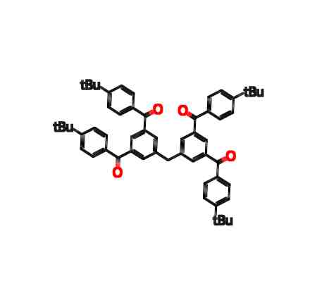 CC(C)(C)c1ccc(C(=O)c2cc(Cc3cc(C(=O)c4ccc(C(C)(C)C)cc4)cc(C(=O)c4ccc(C(C)(C)C)cc4)c3)cc(C(=O)c3ccc(C(C)(C)C)cc3)c2)cc1